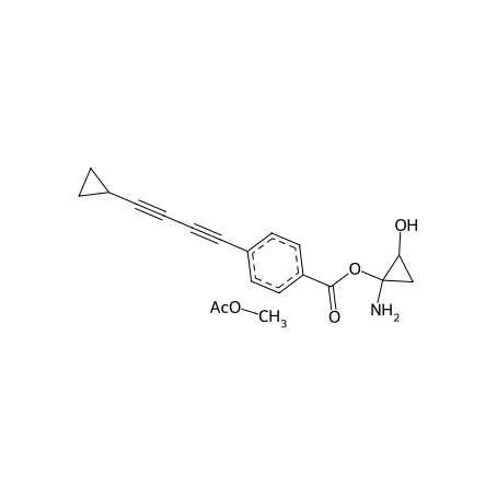 COC(C)=O.NC1(OC(=O)c2ccc(C#CC#CC3CC3)cc2)CC1O